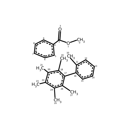 COC(=O)c1ccccc1.Cc1ccccc1-c1c(C)c(C)c(C)c(C)c1C